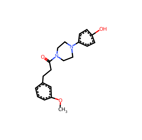 COc1cccc(CCC(=O)N2CCN(c3ccc(O)cc3)CC2)c1